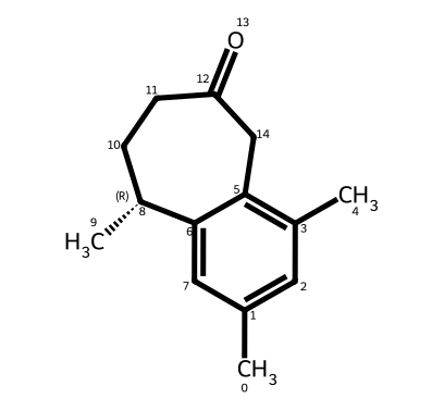 Cc1cc(C)c2c(c1)[C@H](C)CCC(=O)C2